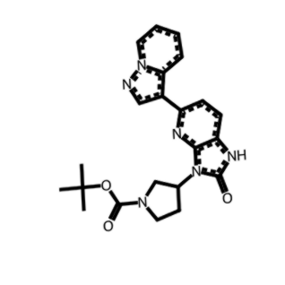 CC(C)(C)OC(=O)N1CCC(n2c(=O)[nH]c3ccc(-c4cnn5ccccc45)nc32)C1